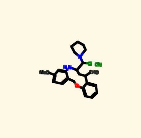 COc1ccc(COc2ccccc2C(C=O)CC(N)C(Cl)N2CCCCC2)cc1.Cl